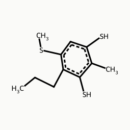 CCCc1c(SC)cc(S)c(C)c1S